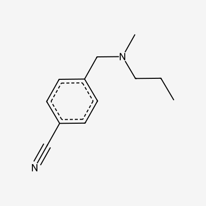 CCCN(C)Cc1ccc(C#N)cc1